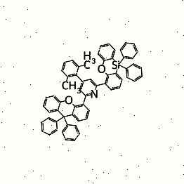 Cc1cccc(C)c1-c1cc(-c2cccc3c2Oc2ccccc2C3(c2ccccc2)c2ccccc2)nc(-c2cccc3c2Oc2ccccc2[Si]3(c2ccccc2)c2ccccc2)c1